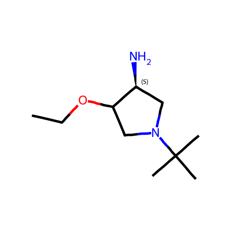 CCOC1CN(C(C)(C)C)C[C@@H]1N